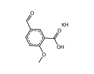 COc1ccc(C=O)cc1C(=O)O.[KH]